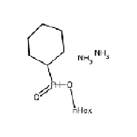 CCCCCCO[PH](=O)C1CCCCC1.N.N